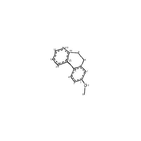 COc1ccc2c(c1)CCc1ncccc1-2